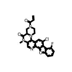 C=CC(=O)N1CCN2c3c(cnc4c3cc(Cl)c3c4oc4cccc(F)c43)N(C)C(=O)C2C1